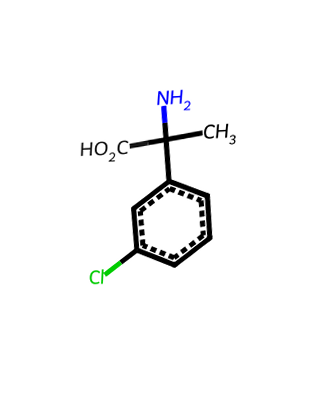 CC(N)(C(=O)O)c1cccc(Cl)c1